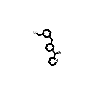 BrCc1cccc(Cc2cccc(C(Br)c3ccccn3)c2)c1